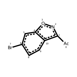 CC(=O)c1noc2cc(Br)ccc12